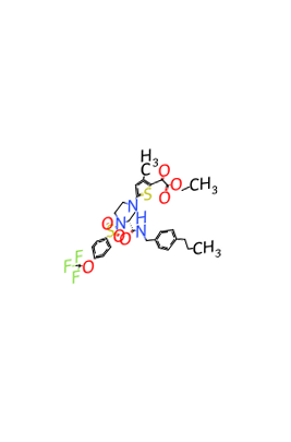 CCCc1ccc(CNC(=O)[C@H]2CN(c3cc(C)c(C(=O)C(=O)OCC)s3)CCN2S(=O)(=O)c2ccc(OC(F)(F)F)cc2)cc1